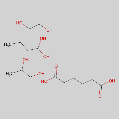 CC(O)CO.CCCC(O)O.O=C(O)CCCCC(=O)O.OCCO